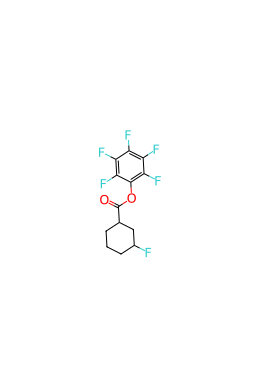 O=C(Oc1c(F)c(F)c(F)c(F)c1F)C1CCCC(F)C1